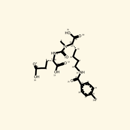 CN(C(=O)N[C@@H](CCC(=O)O)C(=O)O)[C@@H](CCCCNC(=O)c1ccc(F)cc1)C(=O)O